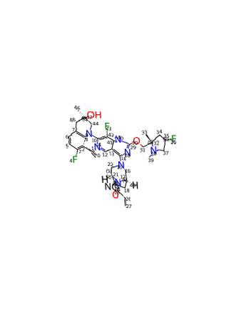 C#Cc1c(F)ccc2c1N(c1ncc3c(N4C[C@H]5CC(C#N)[C@@H](C4)N5C(=O)C=C)nc(OC[C@]4(C)C[C@@H](F)CN4C)nc3c1F)C[C@](C)(O)C2